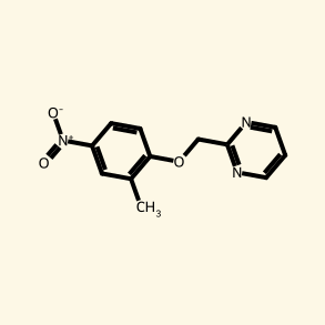 Cc1cc([N+](=O)[O-])ccc1OCc1ncccn1